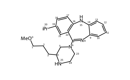 COCCCC1CN(C2=Nc3ccccc3Nc3ccc(C(C)C)cc32)CCN1